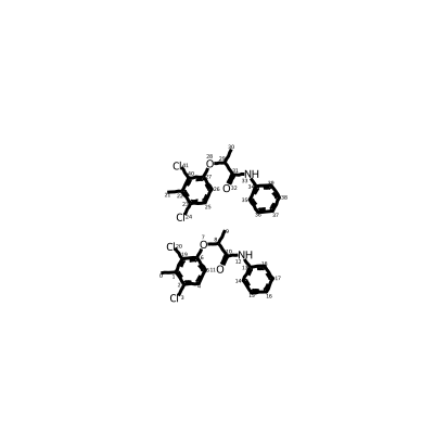 Cc1c(Cl)ccc(OC(C)C(=O)Nc2ccccc2)c1Cl.Cc1c(Cl)ccc(OC(C)C(=O)Nc2ccccc2)c1Cl